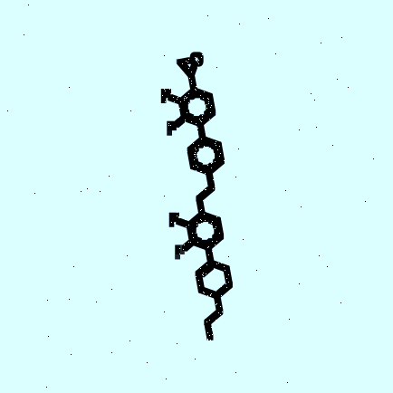 CCCC1CC=C(c2ccc(CCc3ccc(-c4ccc(C5CO5)c(F)c4F)cc3)c(F)c2F)CC1